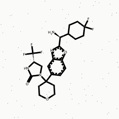 N[C@H](c1nc2cc(C3(N4C[C@@H](C(F)(F)F)NC4=O)CCOCC3)ccc2o1)C1CCC(F)(F)CC1